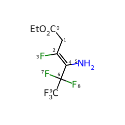 CCOC(=O)C/C(F)=C(\N)C(F)(F)C(F)(F)F